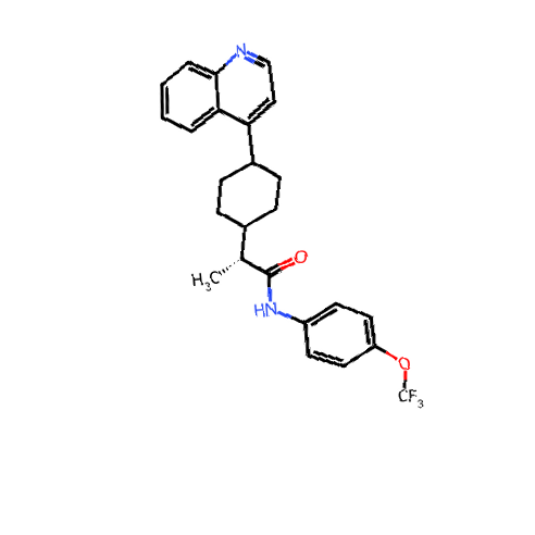 C[C@@H](C(=O)Nc1ccc(OC(F)(F)F)cc1)C1CCC(c2ccnc3ccccc23)CC1